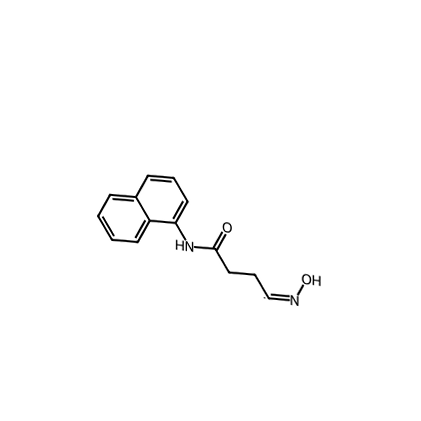 O=C(CC/[C]=N\O)Nc1cccc2ccccc12